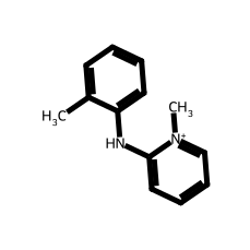 Cc1ccccc1Nc1cccc[n+]1C